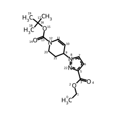 CCOC(=O)c1ccn(C2C=CN(C(=O)OC(C)(C)C)CC2)n1